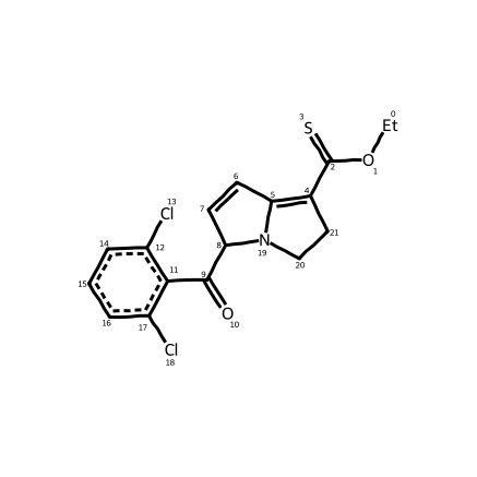 CCOC(=S)C1=C2C=CC(C(=O)c3c(Cl)cccc3Cl)N2CC1